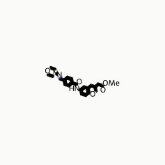 COC(=O)CC1COc2ccc(NC(=O)c3ccc(/C=N/N4CCOCC4)cc3)cc2C1